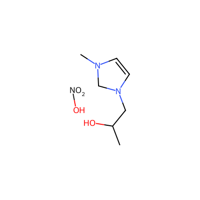 CC(O)CN1C=CN(C)C1.O=[N+]([O-])O